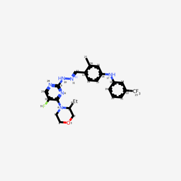 CCC1COCCN1c1nc(N/N=C/c2ccc(Nc3cccc(C(F)(F)F)c3)cc2C)ncc1F